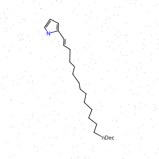 CCCCCCCCCCCCCCCCCCCCCCC=CC1=CC=C[N]1